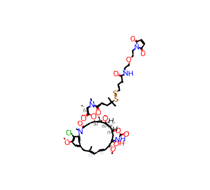 COc1cc2cc(c1Cl)N(C)C(=O)C[C@H](OC(=O)[C@H](C)N(C)C(=O)CCC(C)(C)SSCCCC(=O)NCCOCCN1C(=O)C=CC1=O)[C@]1(C)O[C@H]1[C@H](C)[C@@H]1C[C@@](O)(NC(=O)O1)[C@H](OC)/C=C/C=C(\C)C2